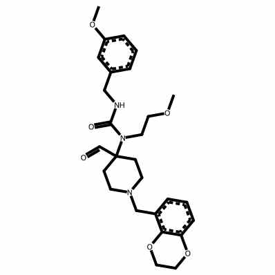 COCCN(C(=O)NCc1cccc(OC)c1)C1(C=O)CCN(Cc2cccc3c2OCCO3)CC1